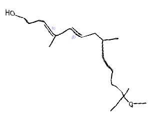 COC(C)(C)CCCC(C)C/C=C/C(C)=C/CO